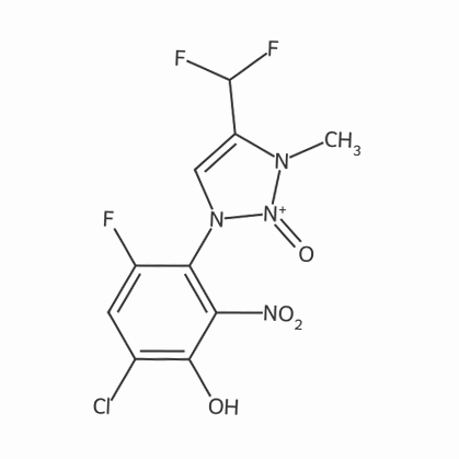 Cn1c(C(F)F)cn(-c2c(F)cc(Cl)c(O)c2[N+](=O)[O-])[n+]1=O